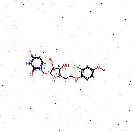 COc1ccc(OCC[C@H]2O[C@H](Cn3ccc(=O)[nH]c3=O)[C@@H](O)[C@H]2O)c(Cl)c1